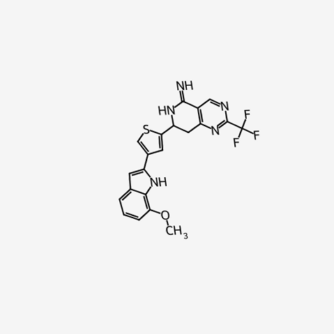 COc1cccc2cc(-c3csc(C4Cc5nc(C(F)(F)F)ncc5C(=N)N4)c3)[nH]c12